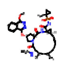 CCOc1nnc(O[C@@H]2C[C@H]3C(=O)N[C@]4(C(=O)NS(=O)(=O)C5(C)CC5)C[C@H]4/C=C\CC[C@@H](C)C[C@@H](CC)[C@H](NC(=O)O)C(=O)N3C2)c2ccccc12